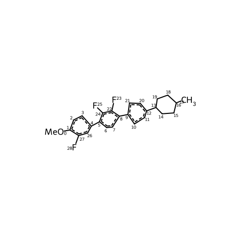 COc1ccc(-c2ccc(-c3ccc(C4CCC(C)CC4)cc3)c(F)c2F)cc1F